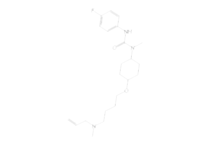 C=CCN(C)CCCCOC1CCC(N(C)C(=O)Nc2ccc(F)cc2)CC1